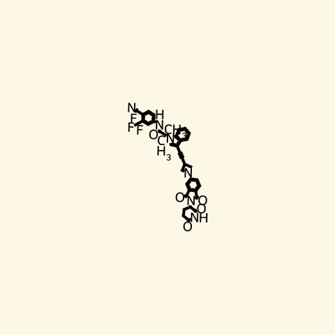 CC(C)(C(=O)Nc1ccc(C#N)c(C(F)(F)F)c1)n1cc(C#CC2CN(c3ccc4c(c3)C(=O)N(C3CCC(=O)NC3=O)C4=O)C2)c2ccccc21